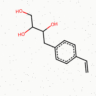 C=Cc1ccc(CC(O)C(O)CO)cc1